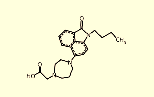 CCCCN1C(=O)c2cccc3c(N4CCCN(CC(=O)O)CC4)ccc1c23